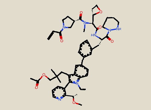 C=CC(=O)N1CC[C@H](C(=O)N(C)[C@H](C(=O)N[C@@H](Cc2cccc(-c3ccc4c(c3)c(CC(C)(C)COC(C)=O)c(-c3cccnc3[C@H](C)OC)n4CC)c2)C(=O)N2CCCCN2)[C@@H]2CCO2)C1